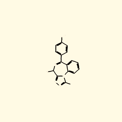 COc1ccc(C2=NC(N)c3nnc(C)n3-c3ccccc32)cc1